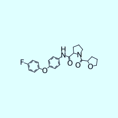 O=C(Nc1ccc(Oc2ccc(F)cc2)cc1)C1CCCN1C(=O)C1CCCO1